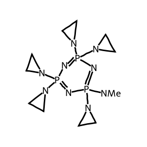 CNP1(N2CC2)=NP(N2CC2)(N2CC2)=NP(N2CC2)(N2CC2)=N1